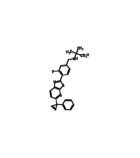 CC(C)(NCc1ccc(-c2nc3ccc(C4(c5ccccc5)C=C4)nc3s2)c(F)c1)C(=O)O